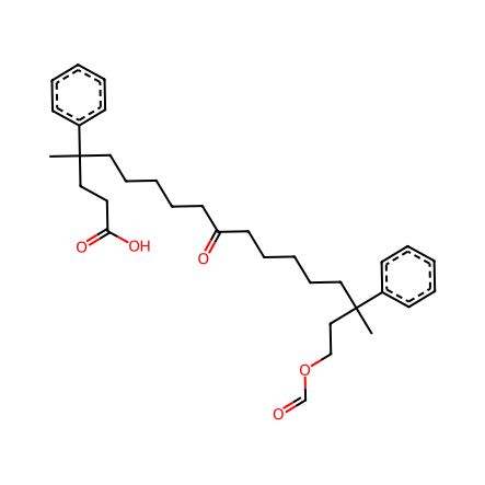 CC(CCCCCC(=O)CCCCCC(C)(CCC(=O)O)c1ccccc1)(CCOC=O)c1ccccc1